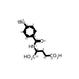 CC(C)(C)c1ccc(C(=O)NC(CCC(=O)O)C(=O)O)cc1